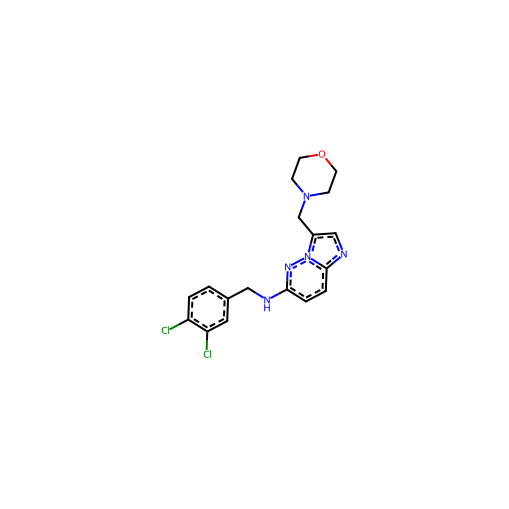 Clc1ccc(CNc2ccc3ncc(CN4CCOCC4)n3n2)cc1Cl